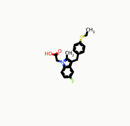 CCSc1ccc(Cc2c(C)n(CC(=O)O)c3ccc(F)cc23)cc1